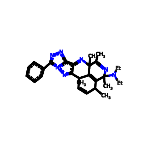 CCN(CC)C1(C)N=C(C)C2(C)N=c3c(nn4c(-c5ccccc5)nnc34)C3(C)C=CC(C)C1=C23